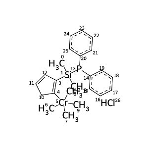 C[Si](C)(C1=[C]([Cr]([CH3])([CH3])([CH3])[CH3])CC=C1)P(c1ccccc1)c1ccccc1.Cl